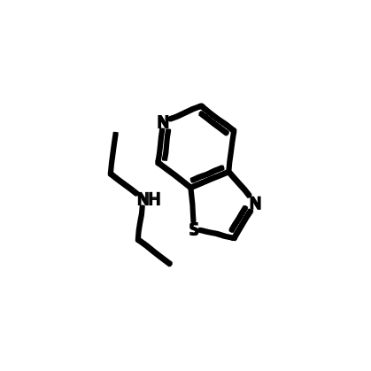 CCNCC.c1cc2ncsc2cn1